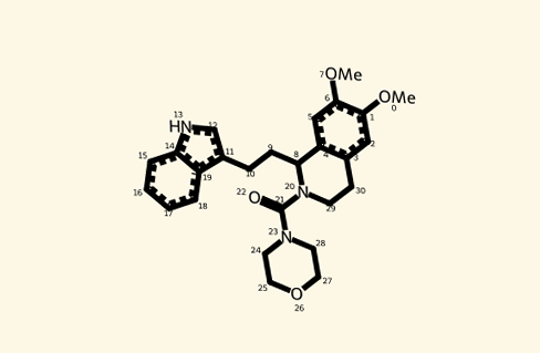 COc1cc2c(cc1OC)C(CCc1c[nH]c3ccccc13)N(C(=O)N1CCOCC1)CC2